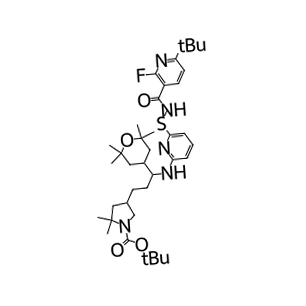 CC(C)(C)OC(=O)N1CC(CCC(Nc2cccc(SNC(=O)c3ccc(C(C)(C)C)nc3F)n2)C2CC(C)(C)OC(C)(C)C2)CC1(C)C